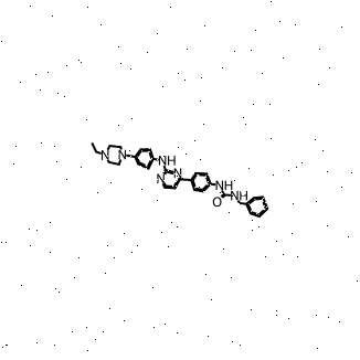 CCN1CCN(c2ccc(Nc3nccc(-c4ccc(NC(=O)NCc5ccccc5)cc4)n3)cc2)CC1